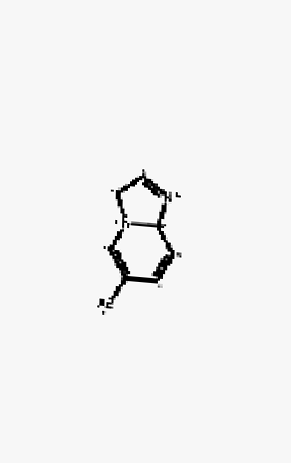 CC(=O)C1=CN2CC=NC2C=C1